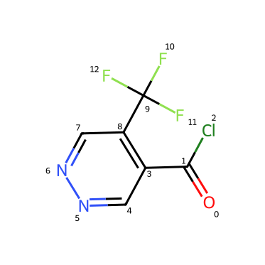 O=C(Cl)c1cnncc1C(F)(F)F